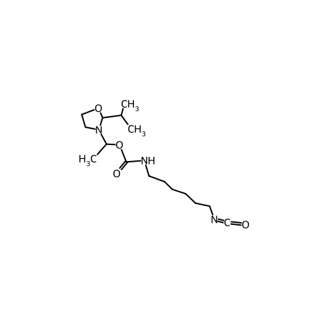 CC(C)C1OCCN1C(C)OC(=O)NCCCCCCN=C=O